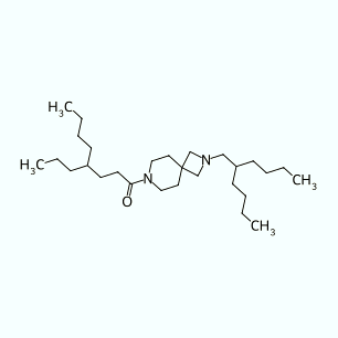 CCCCC(CCC)CCC(=O)N1CCC2(CC1)CN(CC(CCCC)CCCC)C2